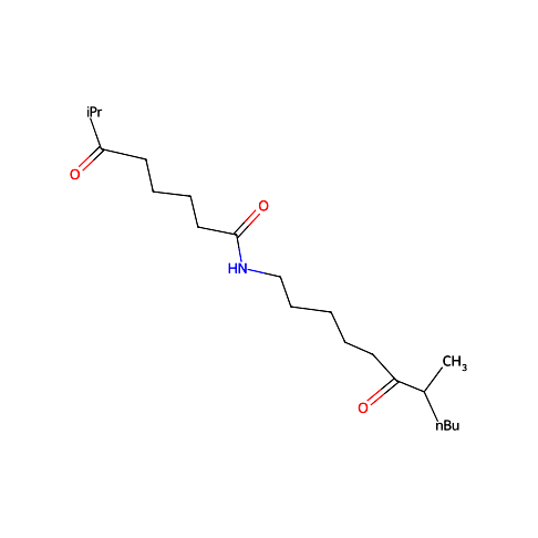 CCCCC(C)C(=O)CCCCCNC(=O)CCCCC(=O)C(C)C